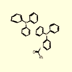 O=[C]([Rh])I.c1ccc(P(c2ccccc2)c2ccccc2)cc1.c1ccc(P(c2ccccc2)c2ccccc2)cc1